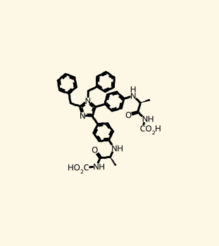 C[C@H](Nc1ccc(-c2nc(Cc3ccccc3)n(Cc3ccccc3)c2-c2ccc(N[C@@H](C)C(=O)NC(=O)O)cc2)cc1)C(=O)NC(=O)O